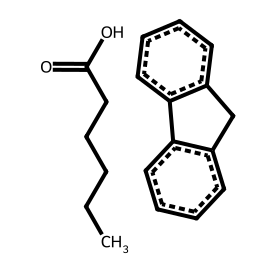 CCCCCC(=O)O.c1ccc2c(c1)Cc1ccccc1-2